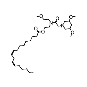 CCCCC/C=C\C/C=C\CCCCCCCC(=O)OCCN(CCOC)C(=O)CN1CC(OC)CC(OC)C1